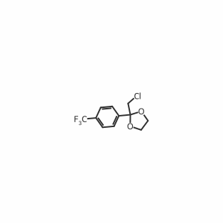 FC(F)(F)c1ccc(C2(CCl)OCCO2)cc1